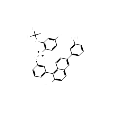 O=S(=O)(Nc1cccc(-c2c(O)ccc3cc(-c4cccc(O)c4)ccc23)c1)c1ccc(Br)cc1OC(F)(F)F